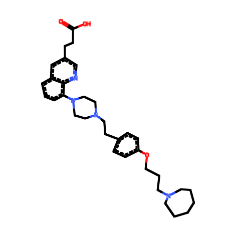 O=C(O)CCc1cnc2c(N3CCN(CCc4ccc(OCCCN5CCCCCC5)cc4)CC3)cccc2c1